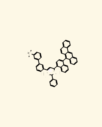 CP(C)(=O)c1cccc(-c2cccc(/C=C/C(NC(N)c3ccccc3)c3ccc(-c4c5ccccc5cc5c4ccc4ccccc45)c4ccccc34)c2)c1